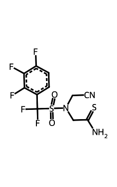 N#CCN(CC(N)=S)S(=O)(=O)C(F)(F)c1ccc(F)c(F)c1F